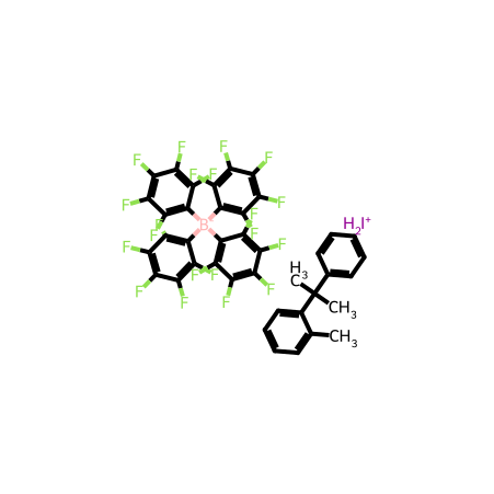 Cc1ccccc1C(C)(C)c1ccccc1.Fc1c(F)c(F)c([B-](c2c(F)c(F)c(F)c(F)c2F)(c2c(F)c(F)c(F)c(F)c2F)c2c(F)c(F)c(F)c(F)c2F)c(F)c1F.[IH2+]